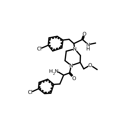 CNC(=O)C(Cc1ccc(Cl)cc1)N1CCN(C(=O)C(N)Cc2ccc(Cl)cc2)C(COC)C1